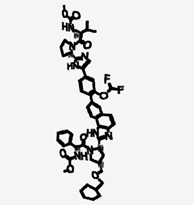 COC(=O)N[C@H](C(=O)N1CCC[C@H]1c1ncc(-c2ccc(-c3ccc4c(ccc5nc([C@@H]6C[C@H](COCC7CCCCC7)CN6C(=O)[C@H](NC(=O)OC)c6ccccc6)[nH]c54)c3)c(OC(F)F)c2)[nH]1)C(C)C